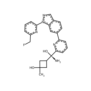 CC1(O)CC([C@](N)(O)c2cccc(-c3ccc4cnn(-c5cccc(CF)n5)c4c3)n2)C1